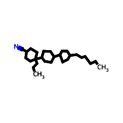 CCCCCCC1CCC(C2CCC(C3(CCC)CCC(C#N)CC3)CC2)CC1